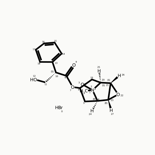 Br.C[N+]1([O-])[C@@H]2CC(OC(=O)[C@H](CO)c3ccccc3)C[C@H]1[C@@H]1O[C@@H]12